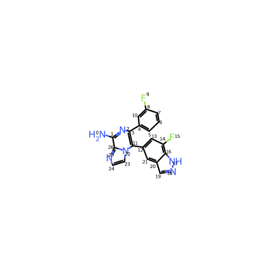 Nc1nc(-c2cccc(F)c2)c(-c2cc(F)c3[nH]ncc3c2)n2ccnc12